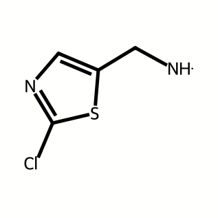 [NH]Cc1cnc(Cl)s1